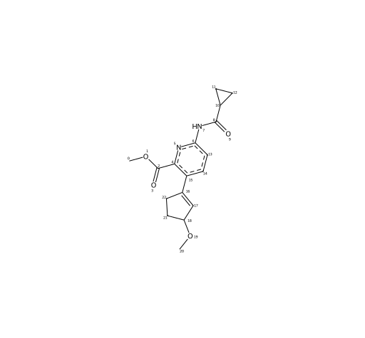 COC(=O)c1nc(NC(=O)C2CC2)ccc1C1=CC(OC)CC1